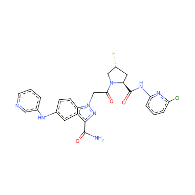 NC(=O)c1nn(CC(=O)N2C[C@H](F)C[C@H]2C(=O)Nc2cccc(Cl)n2)c2ccc(Nc3cccnc3)cc12